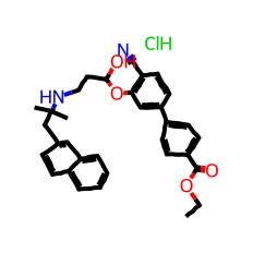 CCOC(=O)c1ccc(-c2ccc(C#N)c(OC(O)CCNC(C)(C)Cc3ccc4ccccc4c3)c2)cc1.Cl